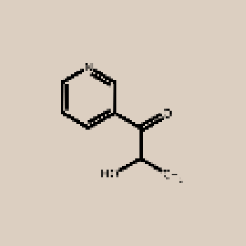 CC(O)C(=O)c1cccnc1